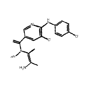 C=C(c1cnc(Nc2ccc(Cl)cc2)c(Cl)c1)N(CCC)/C(C)=C(/C)N